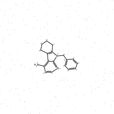 Nc1ncnc2c1c1c(n2Cc2ccccc2)CCCC1